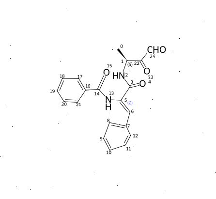 C[C@H](NC(=O)/C(=C/c1ccccc1)NC(=O)c1ccccc1)C(=O)C=O